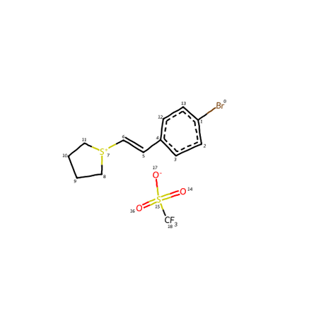 Brc1ccc(/C=C/[S+]2CCCC2)cc1.O=S(=O)([O-])C(F)(F)F